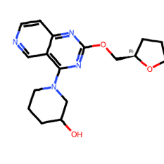 OC1CCCN(c2nc(OC[C@H]3CCCO3)nc3ccncc23)C1